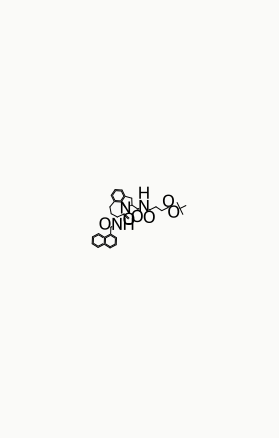 CC(C)(C)OC(=O)CCC(=O)NC(=O)C1Cc2cccc3c2N1C(=O)C(NC(=O)c1cccc2ccccc12)CC3